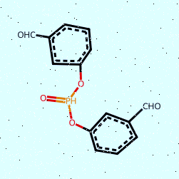 O=Cc1cccc(O[PH](=O)Oc2cccc(C=O)c2)c1